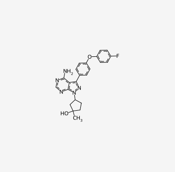 CC1(O)CCC(n2nc(-c3ccc(Oc4ccc(F)cc4)cc3)c3c(N)ncnc32)C1